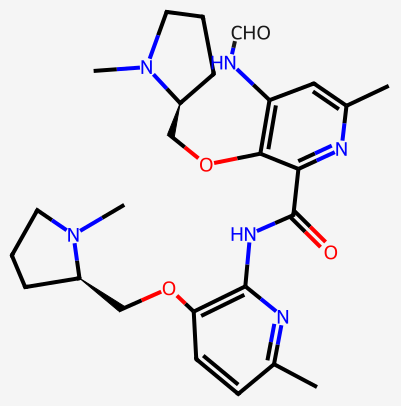 Cc1ccc(OC[C@H]2CCCN2C)c(NC(=O)c2nc(C)cc(NC=O)c2OC[C@@H]2CCCN2C)n1